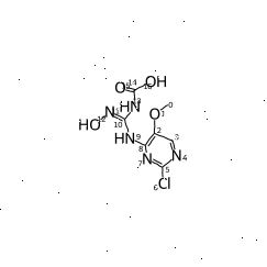 COc1cnc(Cl)nc1N/C(=N\O)NC(=O)O